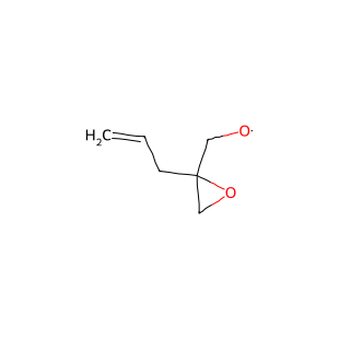 C=CCC1(C[O])CO1